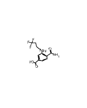 NC(=O)c1ccc(C(=O)O)cc1NCCC(F)(F)F